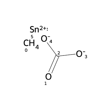 C.O=C([O-])[O-].[Sn+2]